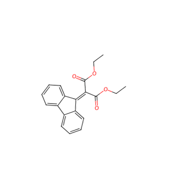 CCOC(=O)C(C(=O)OCC)=C1c2ccccc2-c2ccccc21